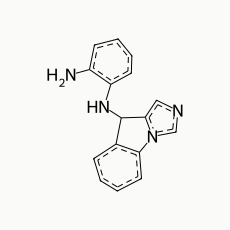 Nc1ccccc1NC1c2ccccc2-n2cncc21